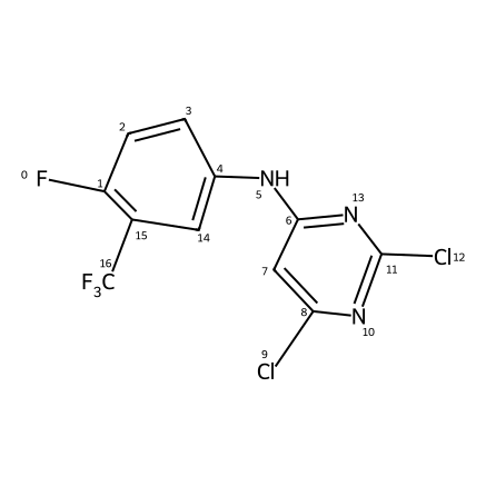 Fc1ccc(Nc2cc(Cl)nc(Cl)n2)cc1C(F)(F)F